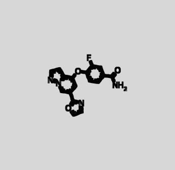 NC(=O)c1ccc(Oc2cc(-c3ncco3)cn3nccc23)c(F)c1